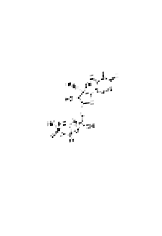 C#CC1(O)[C@@H](O)[C@@H](COP(=O)(O)OP(=O)(O)OP(=O)(O)O)O[C@H]1n1cnc(=O)[nH]c1=O